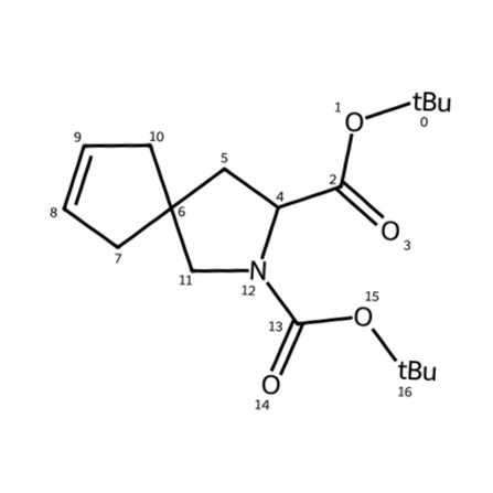 CC(C)(C)OC(=O)C1CC2(CC=CC2)CN1C(=O)OC(C)(C)C